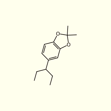 CCC(CC)c1ccc2c(c1)OC(C)(C)O2